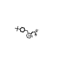 CC(C)(C)c1ccc(CN2CCCNC2=C[N+](=O)[O-])cc1